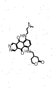 CN(C)CCNc1ccc(NCC2CCOC(=O)C2)c2c1C(=O)c1cnncc1C2=O